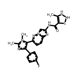 CC1=C(C(=O)Nc2cn3nc(-c4c(-c5ccc(F)cc5)nc(C)n4C)ccc3n2)SNN1